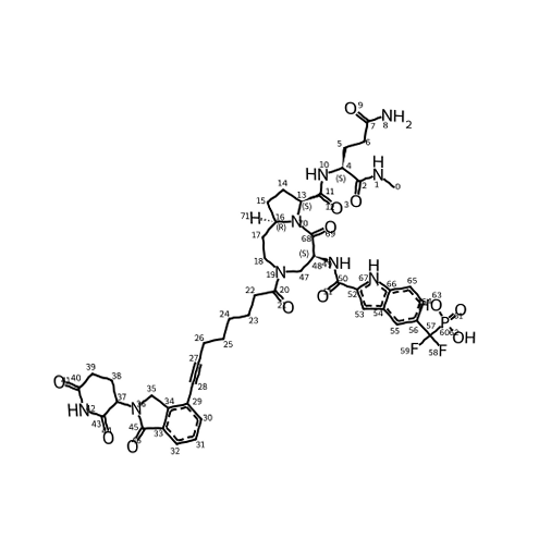 CNC(=O)[C@H](CCC(N)=O)NC(=O)[C@@H]1CC[C@@H]2CCN(C(=O)CCCCCC#Cc3cccc4c3CN(C3CCC(=O)NC3=O)C4=O)C[C@H](NC(=O)c3cc4cc(C(F)(F)P(=O)(O)O)ccc4[nH]3)C(=O)N21